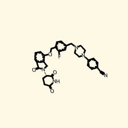 N#Cc1ccc(N2CCN(Cc3ccc(COc4cccc5c4CN([C@H]4CCC(=O)NC4=O)C5=O)c(F)c3)CC2)cc1